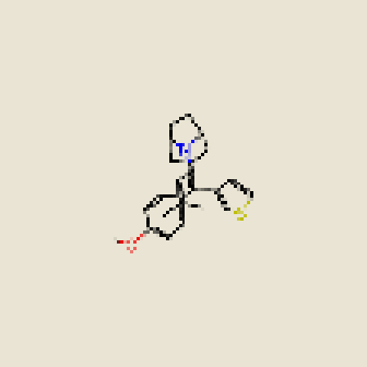 COc1ccc(C(=C2CC3CCC(C2)N3CC=C(C)C)c2ccsc2)cc1